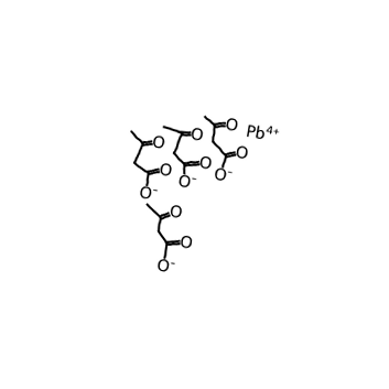 CC(=O)CC(=O)[O-].CC(=O)CC(=O)[O-].CC(=O)CC(=O)[O-].CC(=O)CC(=O)[O-].[Pb+4]